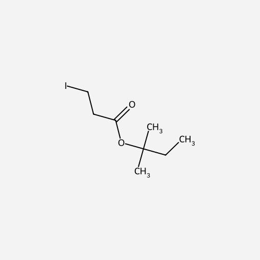 CCC(C)(C)OC(=O)CCI